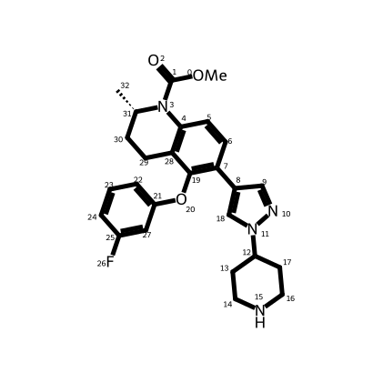 COC(=O)N1c2ccc(-c3cnn(C4CCNCC4)c3)c(Oc3cccc(F)c3)c2CC[C@@H]1C